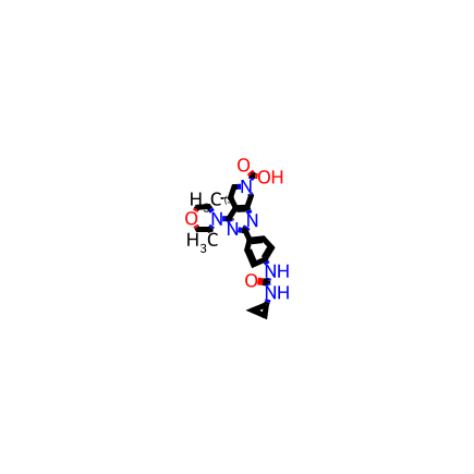 CC1COCCN1c1nc(-c2ccc(NC(=O)NC3CC3)cc2)nc2c1[C@H](C)CN(C(=O)O)C2